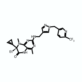 CC[C@]1(C2=CC2)C(=O)Nc2c(C)nc(NCc3cnn(Cc4ccc(C(F)(F)F)nc4)c3)nc2N1C